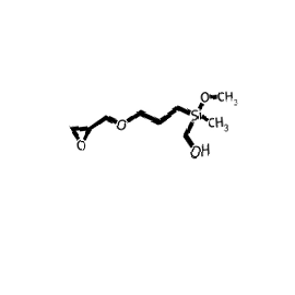 CO[Si](C)(CO)CCCOCC1CO1